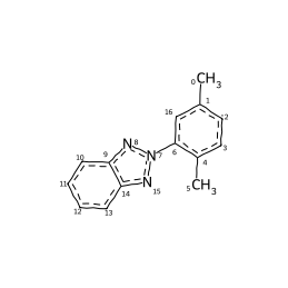 Cc1[c]cc(C)c(-n2nc3ccccc3n2)c1